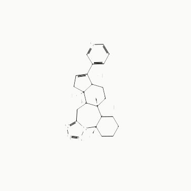 C[C@]12CC[C@H](O)C[C@]1(C)n1nnnc1C[C@@H]1[C@]2(C)CC[C@]2(C)C(c3cccnc3)=CC[C@@]12C